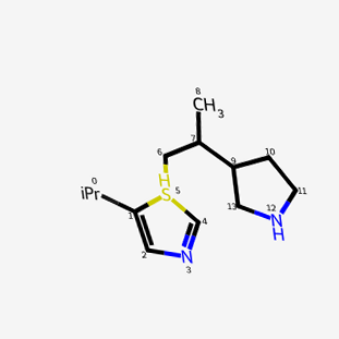 CC(C)C1=CN=C[SH]1CC(C)C1CCNC1